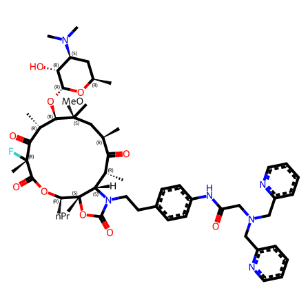 CCC[C@H]1OC(=O)[C@](C)(F)C(=O)[C@H](C)[C@@H](O[C@H]2O[C@H](C)C[C@H](N(C)C)[C@H]2O)[C@@](C)(OC)C[C@@H](C)C(=O)[C@H](C)[C@@H]2N(CCc3ccc(NC(=O)CN(Cc4ccccn4)Cc4ccccn4)cc3)C(=O)O[C@@]21C